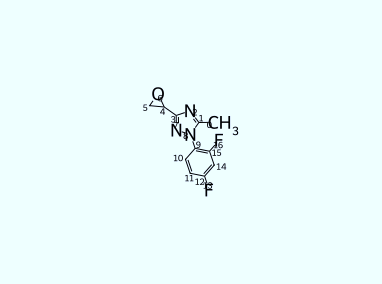 Cc1nc(C2CO2)nn1-c1ccc(F)cc1F